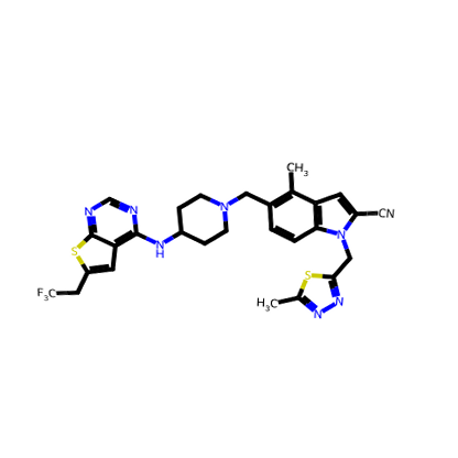 Cc1nnc(Cn2c(C#N)cc3c(C)c(CN4CCC(Nc5ncnc6sc(CC(F)(F)F)cc56)CC4)ccc32)s1